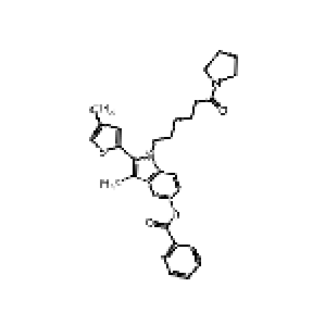 Cc1csc(-c2c(C)c3cc(OC(=O)c4ccccc4)ccc3n2CCCCCC(=O)N2CCCC2)c1